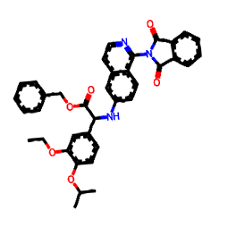 CCOc1cc(C(Nc2ccc3c(N4C(=O)c5ccccc5C4=O)nccc3c2)C(=O)OCc2ccccc2)ccc1OC(C)C